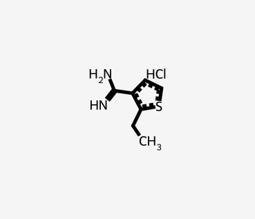 CCc1sccc1C(=N)N.Cl